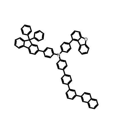 c1ccc(C2(c3ccccc3)c3ccccc3-c3ccc(-c4ccc(N(c5ccc(-c6ccc(-c7cccc(-c8ccc9ccccc9c8)c7)cc6)cc5)c5ccc(-c6cccc7oc8ccccc8c67)cc5)cc4)cc32)cc1